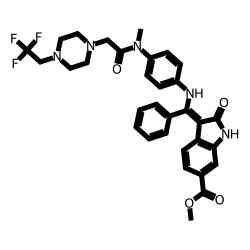 COC(=O)c1ccc2c(c1)NC(=O)/C2=C(\Nc1ccc(N(C)C(=O)CN2CCN(CC(F)(F)F)CC2)cc1)c1ccccc1